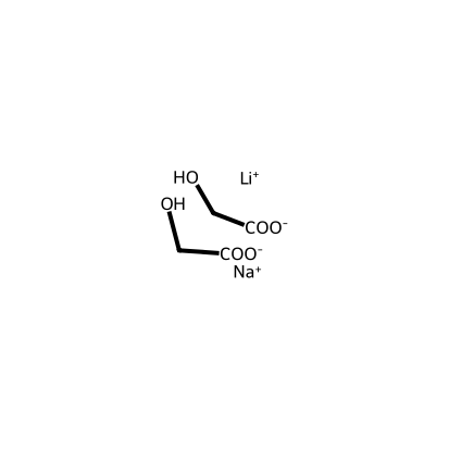 O=C([O-])CO.O=C([O-])CO.[Li+].[Na+]